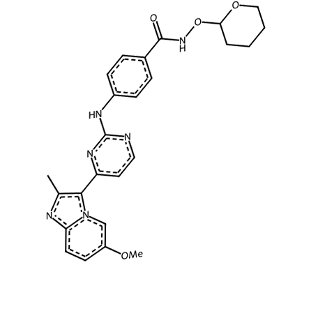 COc1ccc2nc(C)c(-c3ccnc(Nc4ccc(C(=O)NOC5CCCCO5)cc4)n3)n2c1